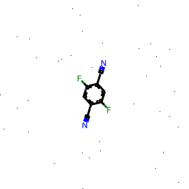 N#Cc1cc(F)c(C#N)cc1F